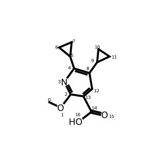 COc1nc(C2CC2)c(C2CC2)cc1C(=O)O